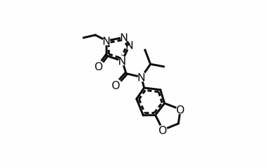 CCn1nnn(C(=O)N(c2ccc3c(c2)OCO3)C(C)C)c1=O